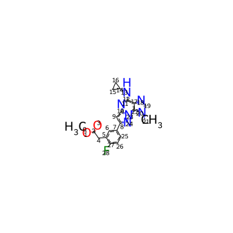 COC(=O)Cc1cc(-c2cc3nc(NC4CC4)c4ncn(C)c4n3n2)ccc1F